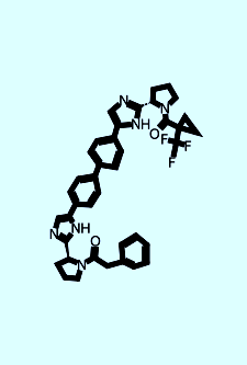 O=C(Cc1ccccc1)N1CCC[C@H]1c1ncc(-c2ccc(-c3ccc(-c4cnc([C@@H]5CCCN5C(=O)C5(C(F)(F)F)CC5)[nH]4)cc3)cc2)[nH]1